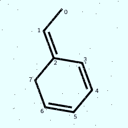 CC=C1[C]=CC=CC1